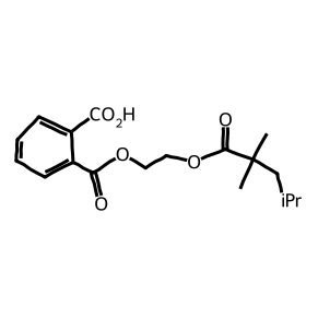 CC(C)CC(C)(C)C(=O)OCCOC(=O)c1ccccc1C(=O)O